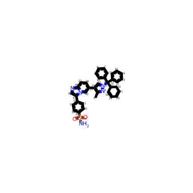 Cc1nn(C(c2ccccc2)(c2ccccc2)C2C=CC=CC2)cc1-c1ccc2ncc(-c3ccc(S(N)(=O)=O)cc3)n2c1